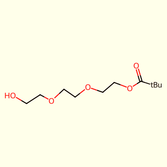 CC(C)(C)C(=O)OCCOCCOCCO